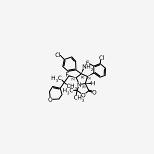 CC(C)(C[C@@H]1N2[C@@H](C(=O)OC2(C)C)[C@H](c2cccc(Cl)c2F)[C@@]1(N)c1ccc(Cl)cc1F)C1=CCOCC1